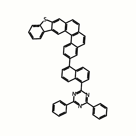 c1ccc(-c2nc(-c3ccccc3)nc(-c3cccc4c(-c5ccc6c(ccc7ccc8cc9sc%10ccccc%10c9cc8c76)c5)cccc34)n2)cc1